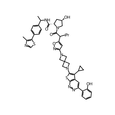 Cc1ncsc1-c1ccc(C(C)NC(=O)[C@@H]2C[C@@H](O)CN2C(=O)C(c2cc(N3CC4(C3)CN(c3sc5nnc(-c6ccccc6O)cc5c3C3CC3)C4)no2)C(C)C)cc1